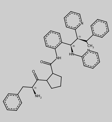 CC(c1ccccc1)[C@H](c1ccccn1)[C@@H](Nc1ccccn1)c1ccccc1NC(=O)C1CCCC1C(=O)[C@@H](N)Cc1ccccc1